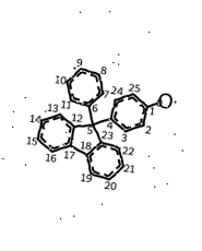 [O]c1ccc(C2(c3cc[c]cc3)c3ccccc3-c3ccccc32)cc1